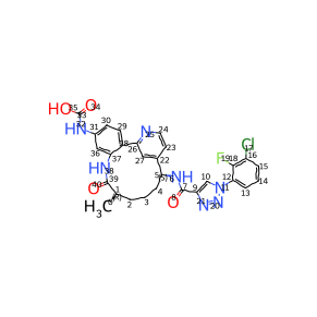 C[C@@H]1CCC[C@H](NC(=O)c2cn(-c3cccc(Cl)c3F)nn2)c2ccnc(c2)-c2ccc(NC(=O)O)cc2NC1=O